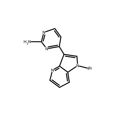 CC(C)n1cc(-c2ccnc(N)n2)c2ncccc21